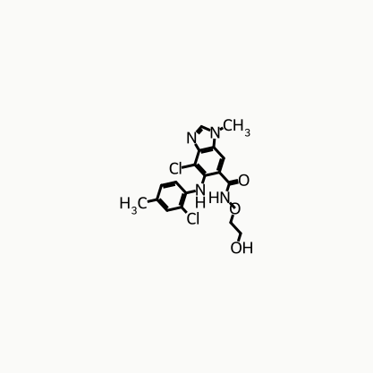 Cc1ccc(Nc2c(C(=O)NOCCO)cc3c(ncn3C)c2Cl)c(Cl)c1